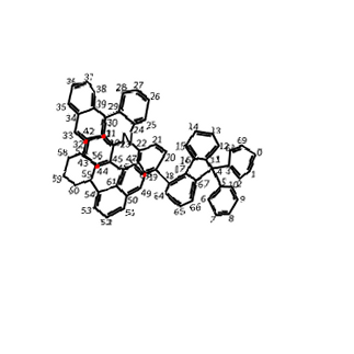 c1ccc(C2(c3ccccc3)c3ccccc3-c3c(-c4ccc(N(c5ccccc5-c5cccc6ccccc56)c5ccccc5-c5cccc6cccc(C7CCCCC7)c56)cc4)cccc32)cc1